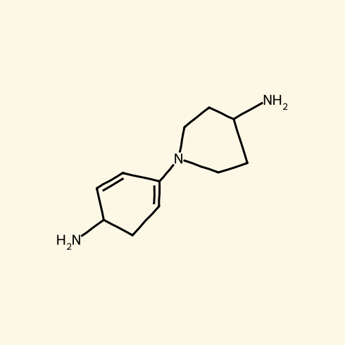 NC1C=CC(N2CCC(N)CC2)=CC1